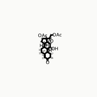 CC(=O)OCC(=O)[C@@]1(OC(C)=O)CC[C@H]2[C@@H]3CCC4=CC(=O)CC[C@]4(C)[C@H]3[C@@H](O)C[C@@]21C